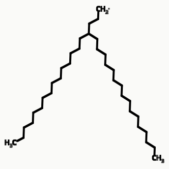 [CH2]CCC(CCCCCCCCCCCCCCC)CCCCCCCCCCCCCCCC